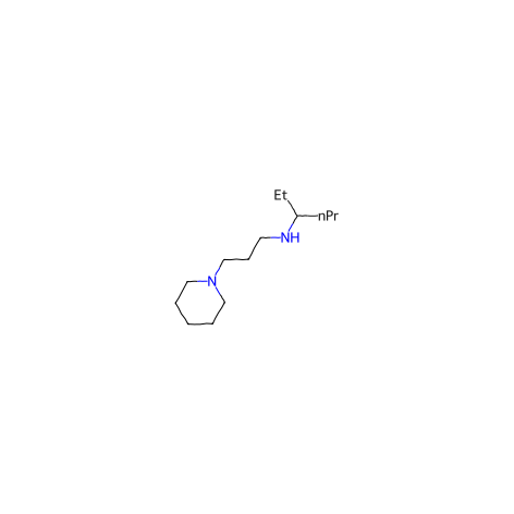 CCCC(CC)NCCCN1CCCCC1